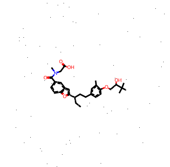 CCC(CCc1ccc(OCC(O)C(C)(C)C)c(C)c1)c1cc2cc(C(=O)N(C)CC(=O)O)ccc2o1